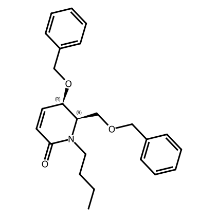 CCCCN1C(=O)C=C[C@@H](OCc2ccccc2)[C@H]1COCc1ccccc1